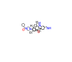 CCc1cc2c(cc1N1CCN(C(=O)C3CCCC3)CC1)C(C)(C)C1=C(C2=O)[C@]2(C)C=CC(C=N)=CC2N1